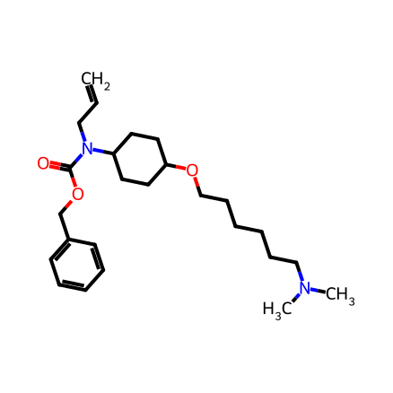 C=CCN(C(=O)OCc1ccccc1)C1CCC(OCCCCCCN(C)C)CC1